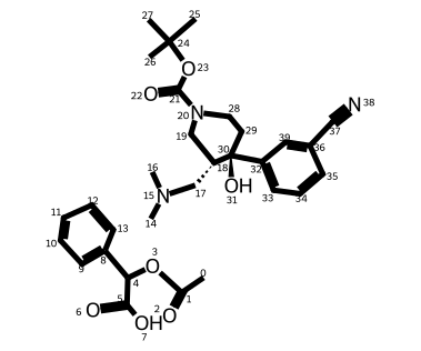 CC(=O)OC(C(=O)O)c1ccccc1.CN(C)C[C@@H]1CN(C(=O)OC(C)(C)C)CC[C@]1(O)c1cccc(C#N)c1